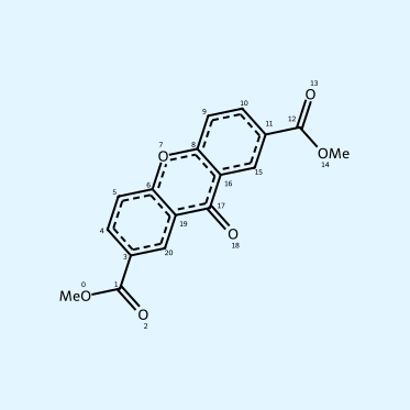 COC(=O)c1ccc2oc3ccc(C(=O)OC)cc3c(=O)c2c1